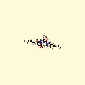 C=CCCC[C@H](CC(=O)O)C(=O)NC[C@@H](C)CC(=O)N(CCCC=C)C(C)C